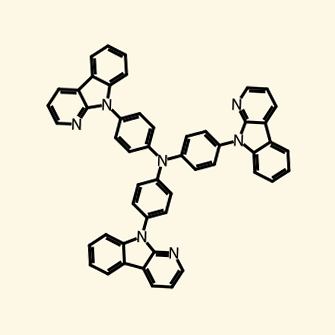 c1ccc2c(c1)c1cccnc1n2-c1ccc(N(c2ccc(-n3c4ccccc4c4cccnc43)cc2)c2ccc(-n3c4ccccc4c4cccnc43)cc2)cc1